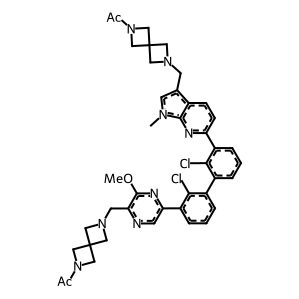 COc1nc(-c2cccc(-c3cccc(-c4ccc5c(CN6CC7(C6)CN(C(C)=O)C7)cn(C)c5n4)c3Cl)c2Cl)cnc1CN1CC2(C1)CN(C(C)=O)C2